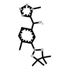 Cc1ccc(C(c2nnnn2C)C(F)(F)F)cc1B1OC(C)(C)C(C)(C)O1